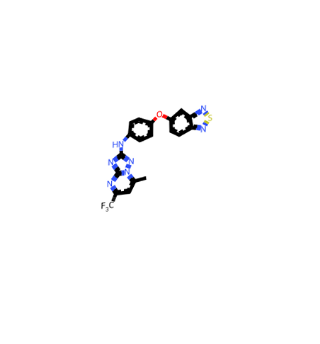 Cc1cc(C(F)(F)F)nc2nc(Nc3ccc(Oc4ccc5nsnc5c4)cc3)nn12